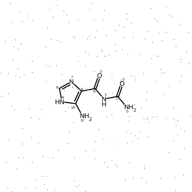 NC(=O)NC(=O)c1nc[nH]c1N